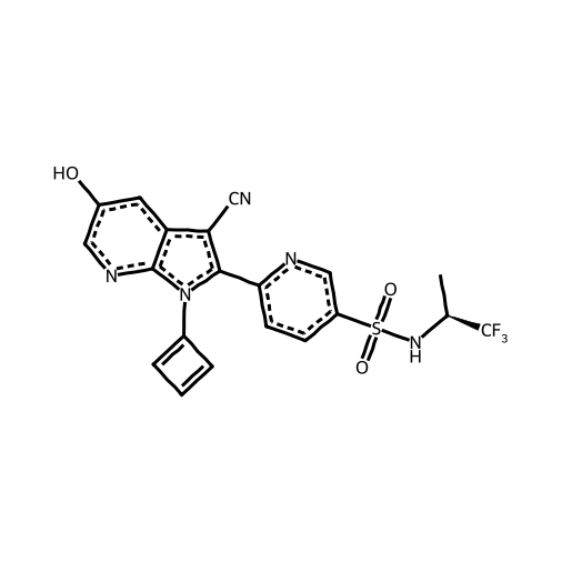 C[C@H](NS(=O)(=O)c1ccc(-c2c(C#N)c3cc(O)cnc3n2C2=CC=C2)nc1)C(F)(F)F